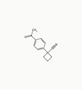 CC(=O)c1ccc(C2(C#N)CCC2)cc1